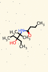 CCCC(=O)NC(C)(C)C(O)(CC)CC